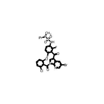 CC(C)N(C)S(=O)(=O)Nc1ccc(F)c(C(=O)c2cn(C(=O)c3c(Cl)cccc3Cl)c3ncc(Br)cc23)c1F